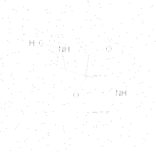 CNCC1(C=O)CNCCO1